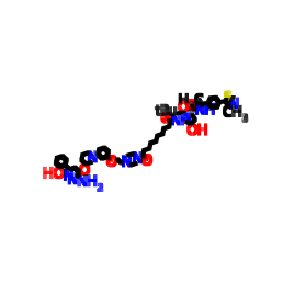 Cc1ncsc1-c1ccc([C@H](C)NC(=O)[C@@H]2C[C@@H](O)CN2C(=O)C(NC(=O)CCCCCCCCC(=O)N2CCN(CCOc3cccc(N4CCCC(Oc5cc(-c6ccccc6O)nnc5N)C4)c3)CC2)C(C)(C)C)cc1